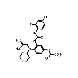 C=C(C)CN(c1ccc(OC(C)C(=O)O)cc1NC(=O)Nc1ccc(Cl)cc1F)C1CCOCC1